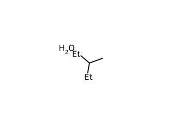 O.[CH2]CC(C)CC